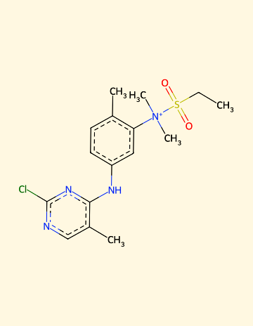 CCS(=O)(=O)[N+](C)(C)c1cc(Nc2nc(Cl)ncc2C)ccc1C